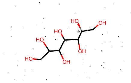 OCC(O)C(O)C(O)C(O)[C@@H](O)CO